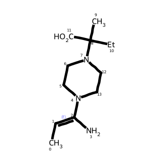 C/C=C(\N)N1CCN(C(C)(CC)C(=O)O)CC1